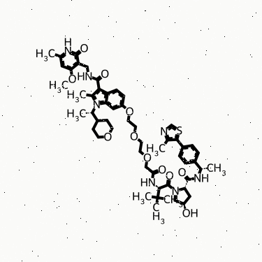 COc1cc(C)[nH]c(=O)c1CNC(=O)c1c(C)n([C@@H](C)C2CCOCC2)c2cc(OCCOCCOCC(=O)N[C@H](C(=O)N3C[C@H](O)C[C@H]3C(=O)N[C@@H](C)c3ccc(-c4scnc4C)cc3)C(C)(C)C)ccc12